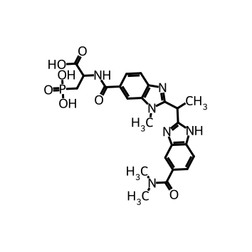 CC(c1nc2cc(C(=O)N(C)C)ccc2[nH]1)c1nc2ccc(C(=O)NC(CP(=O)(O)O)C(=O)O)cc2n1C